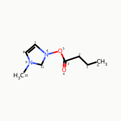 CCCC(=O)ON1C=CN(C)C1